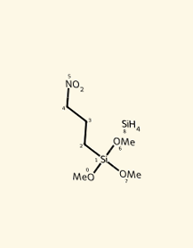 CO[Si](CCC[N+](=O)[O-])(OC)OC.[SiH4]